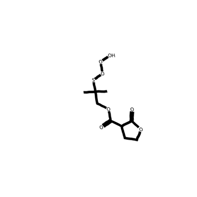 CC(C)(COC(=O)C1CCOC1=O)SOOO